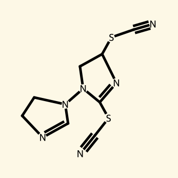 N#CSC1=NC(SC#N)CN1N1C=NCC1